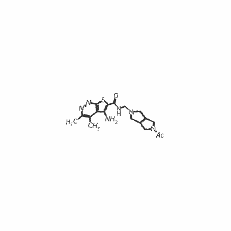 CC(=O)N1CC2CN(CNC(=O)c3sc4nnc(C)c(C)c4c3N)CC2C1